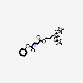 C[Si](C)(C)O[Si](C)(CCCOC(=O)/C=C/C(=O)Oc1ccccc1)O[Si](C)(C)C